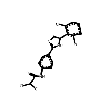 O=C(Nc1ccc(C2=NCC(c3c(Cl)cccc3Cl)N2)cc1)C(Cl)Cl